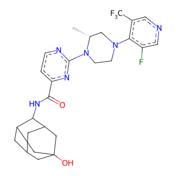 C[C@@H]1CN(c2c(F)cncc2C(F)(F)F)CCN1c1nccc(C(=O)NC2C3CC4CC2CC(O)(C4)C3)n1